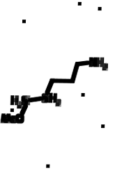 CO[SiH2][SiH2]CCCN